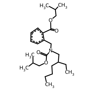 CCCCC(CC)CN(Cc1ccccc1C(=O)OCC(C)C)C(=O)OCC(C)C